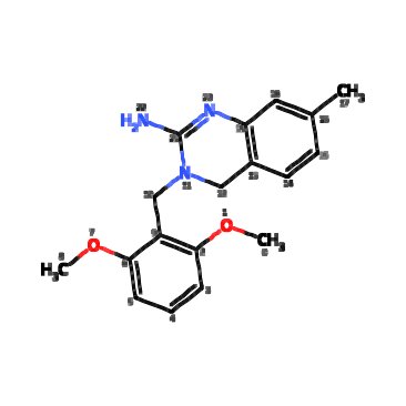 COc1cccc(OC)c1CN1Cc2ccc(C)cc2N=C1N